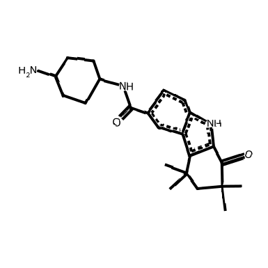 CC1(C)CC(C)(C)c2c([nH]c3ccc(C(=O)NC4CCC(N)CC4)cc23)C1=O